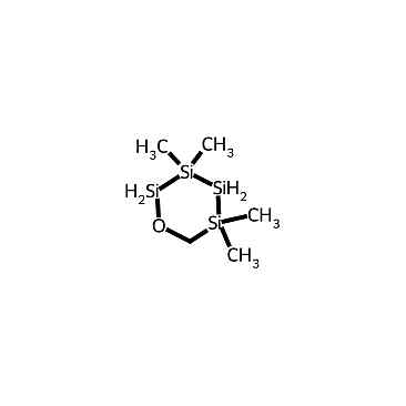 C[Si]1(C)CO[SiH2][Si](C)(C)[SiH2]1